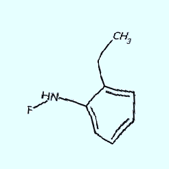 CCc1ccccc1NF